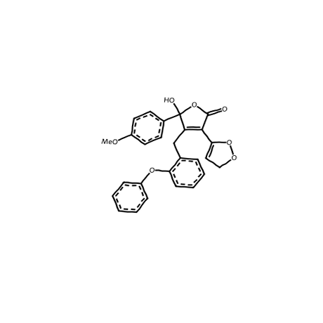 COc1ccc(C2(O)OC(=O)C(C3=CCOO3)=C2Cc2ccccc2Oc2ccccc2)cc1